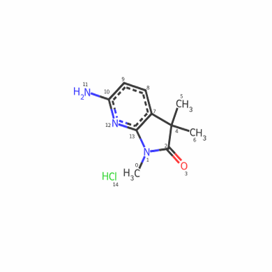 CN1C(=O)C(C)(C)c2ccc(N)nc21.Cl